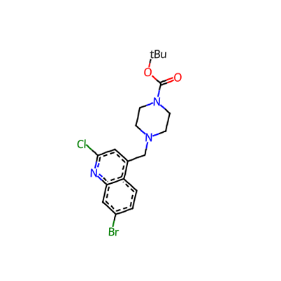 CC(C)(C)OC(=O)N1CCN(Cc2cc(Cl)nc3cc(Br)ccc23)CC1